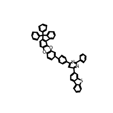 c1ccc(-c2nc(-c3ccc(-c4ccc5c(c4)Oc4c(ccc6c4-c4ccccc4C6(c4ccccc4)c4ccccc4)O5)cc3)cc(-c3ccc4c(c3)sc3ccccc34)n2)cc1